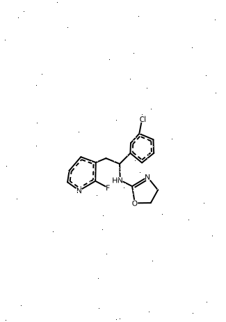 Fc1ncccc1CC(NC1=NCCO1)c1cccc(Cl)c1